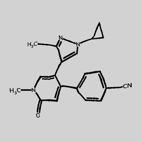 Cc1nn(C2CC2)cc1-c1cn(C)c(=O)cc1-c1ccc(C#N)cc1